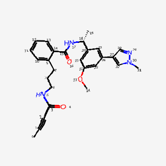 CC#CC(=O)NCCCc1ccccc1C(=O)N[C@H](C)c1cc(OC)cc(-c2cnn(C)c2)c1